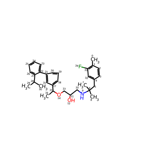 Cc1ccc(CC(C)(C)NC[C@@H](O)COC(C)c2cccc(-c3ccccc3C(C)C)c2)cc1F